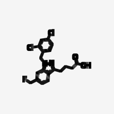 O=C(O)CCCc1nn(Cc2ccc(Cl)cc2Cl)c2cc(CF)ccc12